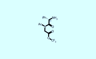 CC(=O)N(CC(=O)OC(F)(F)F)C(=O)[C@@H](N)C(C)C